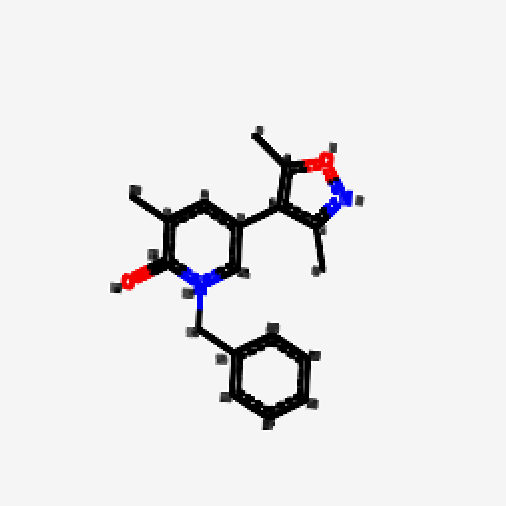 Cc1noc(C)c1-c1cc(C)c(=O)n(Cc2ccccc2)c1